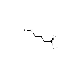 CO[CH]CCC(=O)O